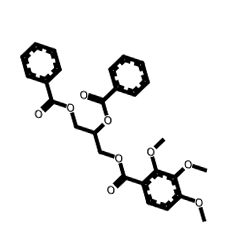 COc1ccc(C(=O)OCC(COC(=O)c2ccccc2)OC(=O)c2ccccc2)c(OC)c1OC